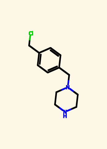 ClCc1ccc(CN2CCNCC2)cc1